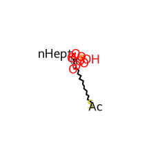 CCCCCCCC(=O)O[C@@H](COC(=O)CCCCCCCCCCCCCSC(C)=O)COP(=O)(O)O